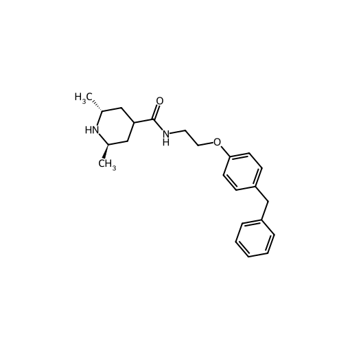 C[C@@H]1CC(C(=O)NCCOc2ccc(Cc3ccccc3)cc2)C[C@@H](C)N1